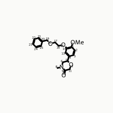 COc1ccc(C2CN(C)C(=O)CO2)cc1OCCOCc1ccccc1